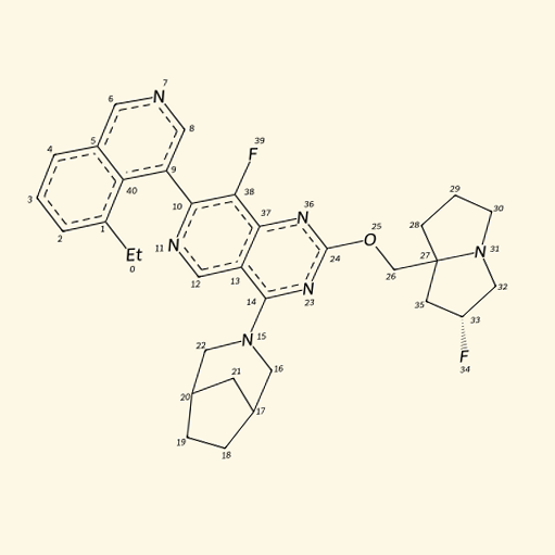 CCc1cccc2cncc(-c3ncc4c(N5CC6CCC(C6)C5)nc(OCC56CCCN5C[C@H](F)C6)nc4c3F)c12